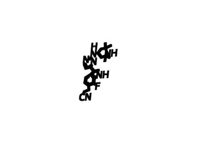 CC1(C)CC(Nc2nccc(-c3c[nH]c4c(F)c(CCC#N)ccc34)n2)CC(C)(C)N1